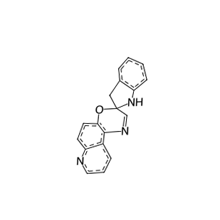 C1=Nc2c(ccc3ncccc23)OC12Cc1ccccc1N2